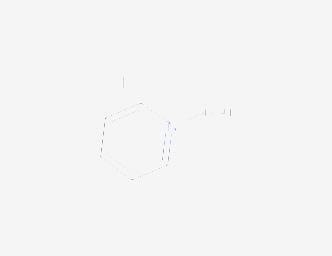 CCCC[n+]1ccccc1.[Cl-]